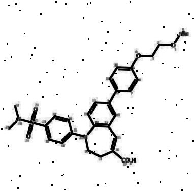 CCCCOCCOc1ccc(-c2ccc3c(c2)C=C(C(=O)O)CCN3c2ccc(S(=O)(=O)N(C)C)cc2)cc1